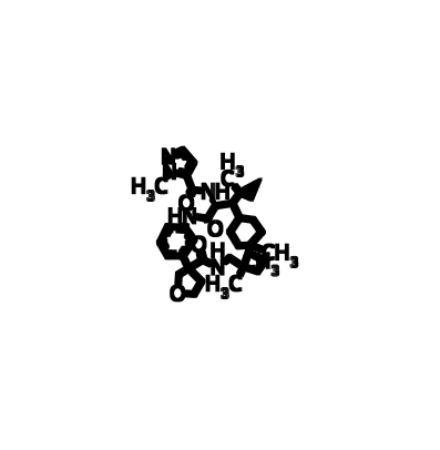 Cn1nccc1C(=O)N[C@H](C(=O)Nc1cccc(C2(C(=O)NCC3(C)CCC3)CCOC2)c1)C(C1CCC(C)(C)CC1)C1(C)CC1